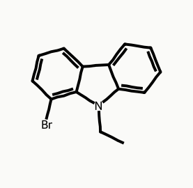 CCn1c2ccccc2c2cccc(Br)c21